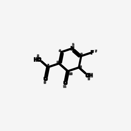 O=C(O)C1=CN=C(F)C(O)C1=O